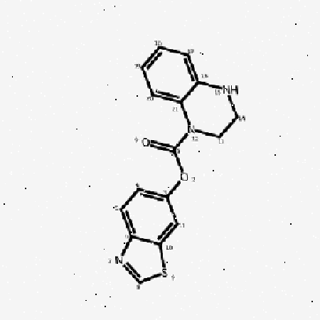 O=C(Oc1ccc2ncsc2c1)N1CCNc2ccccc21